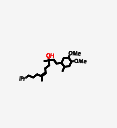 COC1CC(C)C(CCC(C)(O)CCC=C(C)CCCC(C)C)CC1OC